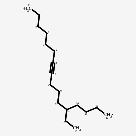 [CH2]CCCCCC#CCCCC(CC)CCC[CH2]